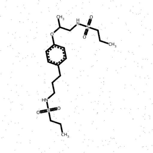 CCCS(=O)(=O)NCCCc1ccc(OC(C)CNS(=O)(=O)CCC)cc1